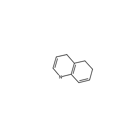 C1=CC2=C(CC=C[N]2)CC1